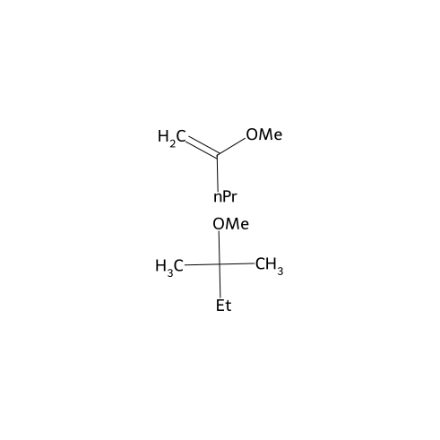 C=C(CCC)OC.CCC(C)(C)OC